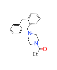 CCC(=O)N1CCN(C2c3ccccc3Cc3ccccc32)CC1